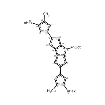 CCCCCCCCn1c2cc(-c3cc(CCCCCC)c(C)s3)sc2c2sc(-c3cc(CCCCCC)c(C)s3)cc21